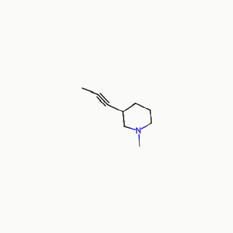 CC#CC1CCCN(C)C1